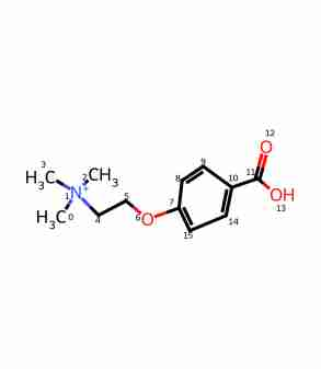 C[N+](C)(C)CCOc1ccc(C(=O)O)cc1